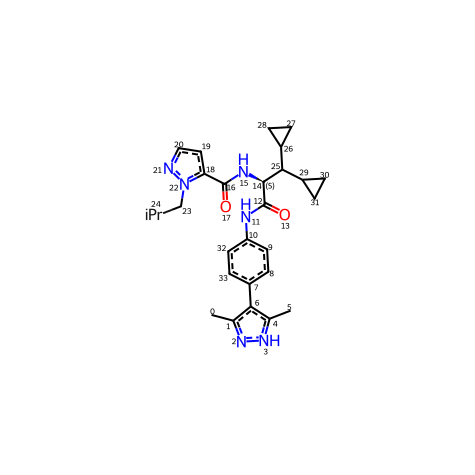 Cc1n[nH]c(C)c1-c1ccc(NC(=O)[C@@H](NC(=O)c2ccnn2CC(C)C)C(C2CC2)C2CC2)cc1